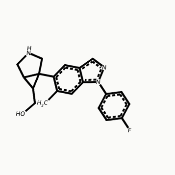 Cc1cc2c(cnn2-c2ccc(F)cc2)cc1C12CNCC1C2CO